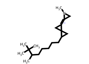 CC(CCCCCC1CC12C/C2=C1/CN1C)C(C)(C)C